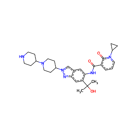 CC(C)(O)c1cc2nn(C3CCN(C4CCNCC4)CC3)cc2cc1NC(=O)c1cccn(C2CC2)c1=O